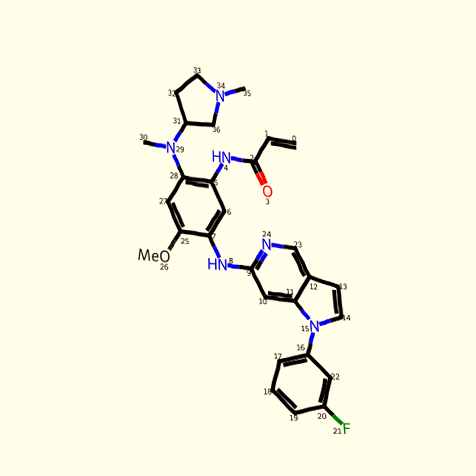 C=CC(=O)Nc1cc(Nc2cc3c(ccn3-c3cccc(F)c3)cn2)c(OC)cc1N(C)C1CCN(C)C1